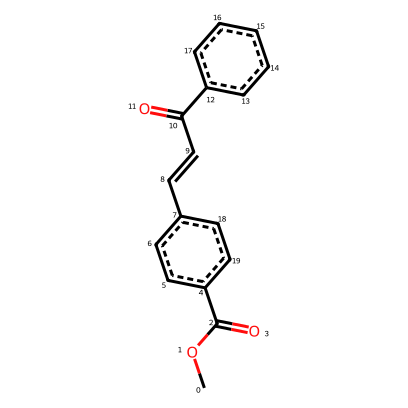 COC(=O)c1ccc(C=CC(=O)c2ccccc2)cc1